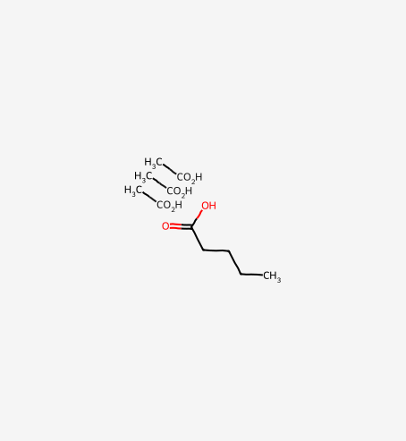 CC(=O)O.CC(=O)O.CC(=O)O.CCCCC(=O)O